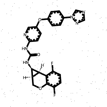 O=C(Nc1ccc(Oc2ccc(-n3cncn3)cc2)cn1)N[C@@H]1[C@@H]2COc3c(F)ccc(F)c3[C@@H]21